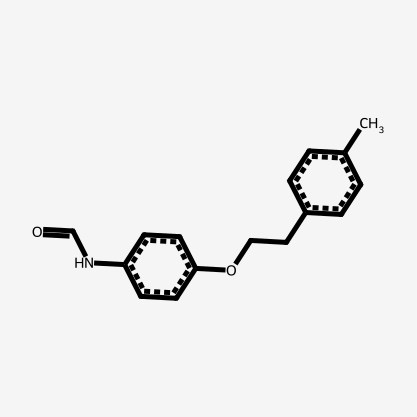 Cc1ccc(CCOc2ccc(NC=O)cc2)cc1